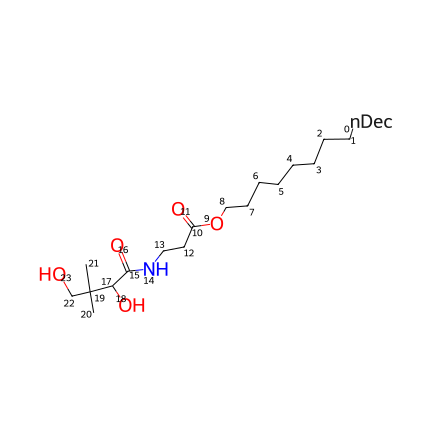 CCCCCCCCCCCCCCCCCCOC(=O)CCNC(=O)C(O)C(C)(C)CO